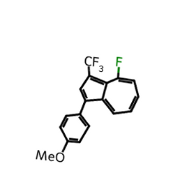 COc1ccc(-c2cc(C(F)(F)F)c3c(F)ccccc2-3)cc1